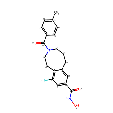 O=C(NO)c1cc(F)c2c(c1)CCCN(C(=O)c1ccc(C(F)(F)F)cc1)CC2